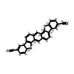 N#CC1=CC2c3ccc4cc5c(ccc6c7cc(C#N)ccc7sc56)cc4c3SC2C=C1